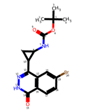 CC(C)(C)OC(=O)NC1CC1c1n[nH]c(=O)c2ccc(Br)cc12